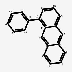 [c]1c2ccccc2cc2cccc(-c3ccccc3)c12